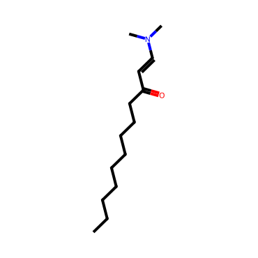 CCCCCCCCCC(=O)/C=C/N(C)C